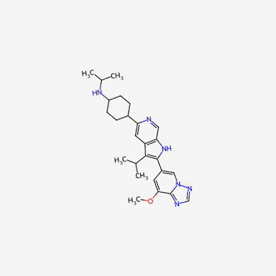 COc1cc(-c2[nH]c3cnc(C4CCC(NC(C)C)CC4)cc3c2C(C)C)cn2ncnc12